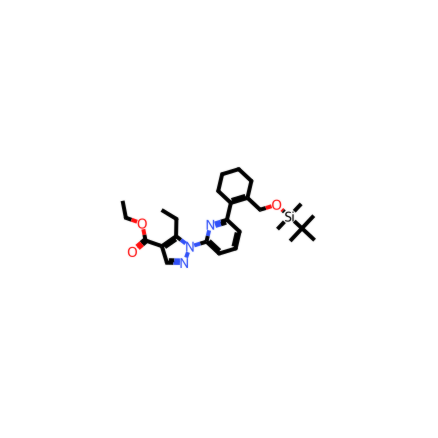 CCOC(=O)c1cnn(-c2cccc(C3=C(CO[Si](C)(C)C(C)(C)C)CCCC3)n2)c1CC